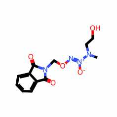 CN(CCO)[N+]([O-])=NOCN1C(=O)c2ccccc2C1=O